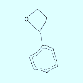 c1ccc(C2CCO2)cc1